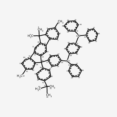 Cc1ccc2c(c1)C(C)(C)c1cc3c(cc1-2)C(c1ccc(N(c2ccccc2)c2ccc(N(c4ccccc4)c4ccccc4)cc2)cc1)(c1ccc(C(C)(C)C)cc1)c1cc(C)ccc1-3